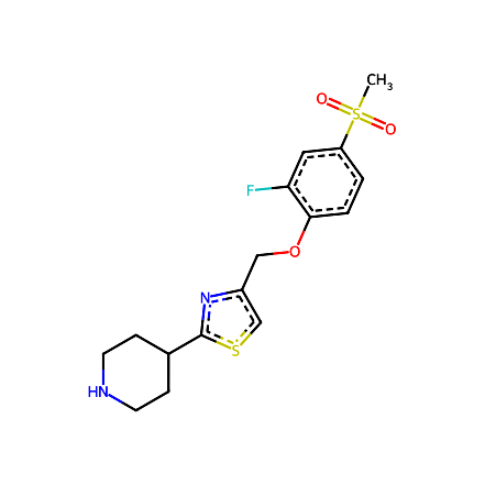 CS(=O)(=O)c1ccc(OCc2csc(C3CCNCC3)n2)c(F)c1